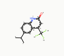 CC(C)c1ccc2[nH]c(=O)cc(C(F)(F)F)c2c1